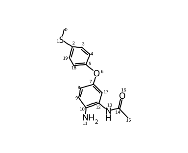 CSc1ccc(Oc2ccc(N)c(NC(C)=O)c2)cc1